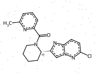 Cc1cccc(C(=O)N2CCCC[C@H]2c2cn3nc(Cl)ccc3n2)n1